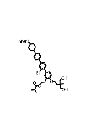 C=C(C)C(=O)OCCc1cc(-c2ccc(-c3ccc(C4CCC(CCCCC)CC4)cc3)cc2CC)ccc1OCCC(C)(CO)CO